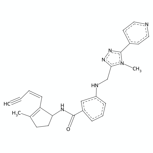 C#C/C=C\C1=C(C)CCC1NC(=O)c1cccc(NCc2nnc(-c3ccncc3)n2C)c1